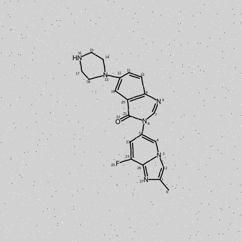 Cc1cn2cc(-n3cnc4ccc(N5CCNCC5)cc4c3=O)cc(F)c2n1